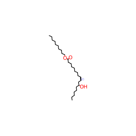 CCCCCCCCCCOC(=O)CCCCCCC/C=C\CC(O)CCCCCC